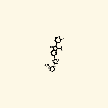 Cc1cc(-c2[nH]c3ccc(-c4nnc([C@@H]5CCC[C@@H]5N)o4)cc3c2C(C)C)ccn1